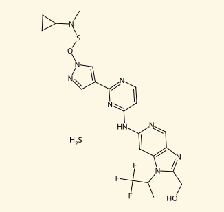 CC(n1c(CO)nc2cnc(Nc3ccnc(-c4cnn(OSN(C)C5CC5)c4)n3)cc21)C(F)(F)F.S